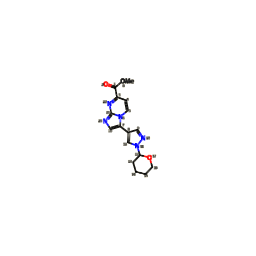 COC(=O)c1ccn2c(-c3cnn(C4CCCCO4)c3)cnc2n1